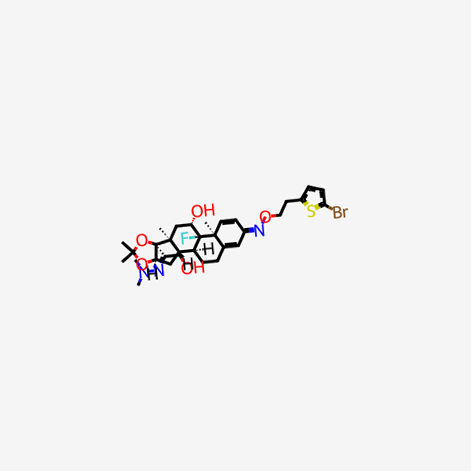 CN(C)/N=C(/CO)[C@@]12OC(C)(C)O[C@@H]1C[C@H]1[C@@H]3CCC4=C/C(=N/OCCc5ccc(Br)s5)C=C[C@]4(C)[C@@]3(F)[C@@H](O)C[C@@]12C